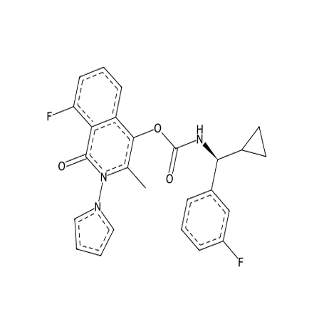 Cc1c(OC(=O)N[C@H](c2cccc(F)c2)C2CC2)c2cccc(F)c2c(=O)n1-n1cccc1